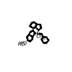 Cl.Cl.[CH3][Hf](=[CH]c1ccccc1)([CH]1C=Cc2ccccc21)[CH]1C=Cc2ccccc21